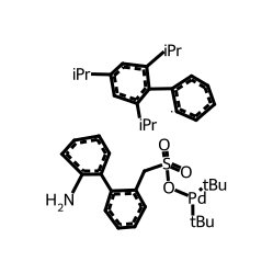 CC(C)c1cc(C(C)C)c(-c2[c]cccc2)c(C(C)C)c1.C[C](C)(C)[Pd]([O]S(=O)(=O)Cc1ccccc1-c1ccccc1N)[C](C)(C)C